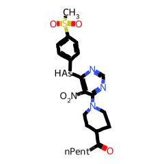 CCCCCC(=O)C1CCN(c2ncnc([AsH]c3ccc(S(C)(=O)=O)cc3)c2[N+](=O)[O-])CC1